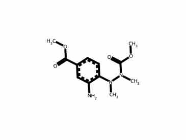 COC(=O)c1ccc(N(C)N(C)C(=O)OC)c(N)c1